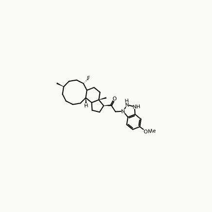 COc1ccc2c(c1)NNN2CC(=O)[C@H]1CCC2[C@@H]3CCCC[C@@H](C)CC[C@H](F)C3CC[C@@]21C